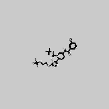 CC(C)(C)OC(=O)N1CC(NC(=O)c2cccc(Cl)c2)CCC1c1nnc(OCCOC(F)(F)F)o1